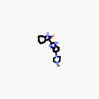 CC(C)N1CCN(c2ccc3[nH]c(-c4c5cccccc-5[nH]c4=O)nc3c2)CC1